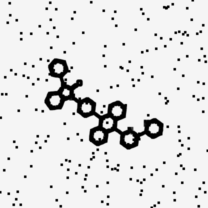 O=c1n(-c2ccccc2)c2ccccc2n1-c1ccc(-c2c3ccccc3c(-c3cccc(-c4ccccn4)n3)c3ccccc23)cc1